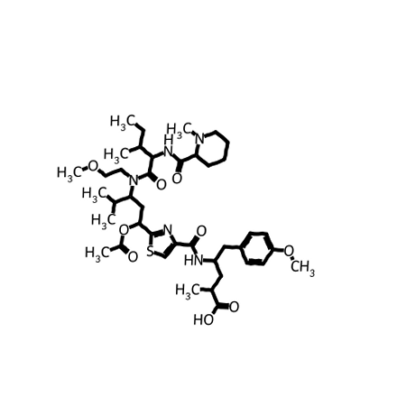 CCC(C)C(NC(=O)C1CCCCN1C)C(=O)N(CCOC)C(CC(OC(C)=O)c1nc(C(=O)NC(Cc2ccc(OC)cc2)CC(C)C(=O)O)cs1)C(C)C